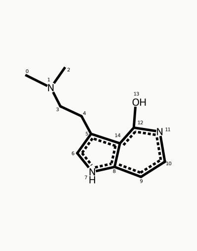 CN(C)CCc1c[nH]c2ccnc(O)c12